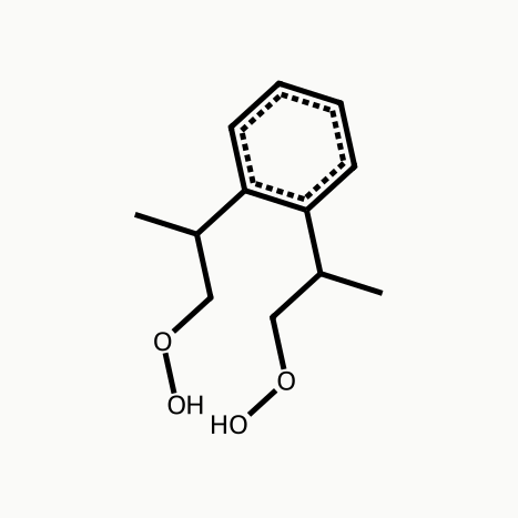 CC(COO)c1ccccc1C(C)COO